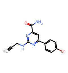 C#CCNc1nc(C(N)=O)cc(-c2ccc(Br)cc2)n1